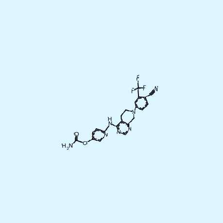 N#Cc1ccc(N2CCc3c(ncnc3Nc3ccc(OC(N)=O)cn3)C2)cc1C(F)(F)F